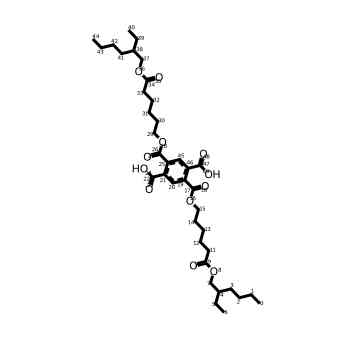 CCCCC(CC)COC(=O)CCCCCOC(=O)c1cc(C(=O)O)c(C(=O)OCCCCCC(=O)OCC(CC)CCCC)cc1C(=O)O